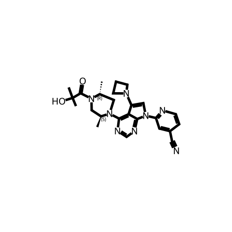 C[C@@H]1CN(c2ncnc3c2c(N2CCC2)cn3-c2cc(C#N)ccn2)[C@@H](C)CN1C(=O)C(C)(C)O